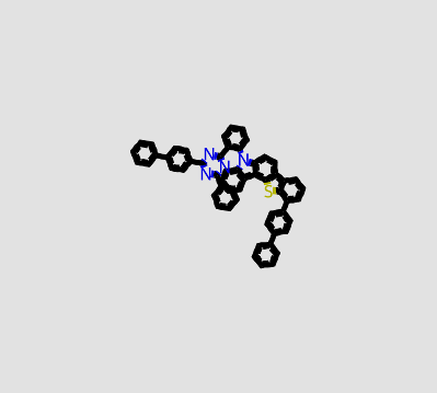 c1ccc(-c2ccc(-c3nc(-c4ccccc4)nc(-c4ccccc4-n4c5ccccc5c5c6sc7c(-c8ccc(-c9ccccc9)cc8)cccc7c6ccc54)n3)cc2)cc1